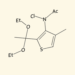 CCOC(C)(OCC)c1scc(C)c1N(Cl)C(C)=O